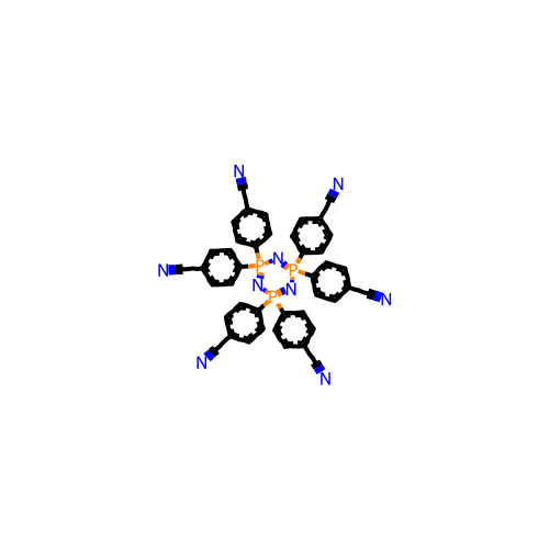 N#Cc1ccc(P2(c3ccc(C#N)cc3)=NP(c3ccc(C#N)cc3)(c3ccc(C#N)cc3)=NP(c3ccc(C#N)cc3)(c3ccc(C#N)cc3)=N2)cc1